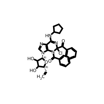 C=C[C@H]1O[C@@H](n2cnc3c2N(C(=O)c2ccccc2)C(Cl)(C(=O)c2ccccc2)N=C3NC2CCCC2)C(O)C1O